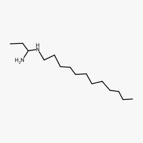 CCCCCCCCCCCCNC(N)CC